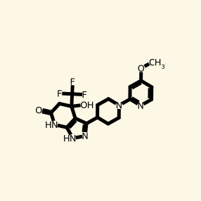 COc1ccnc(N2CCC(c3n[nH]c4c3C(O)(C(F)(F)F)CC(=O)N4)CC2)c1